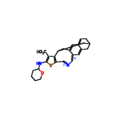 O=C(O)c1c(NC2CCCCO2)sc2c1C1Cc3cc4c(c/c3=C/N=C/2)CC(CC=4)C1